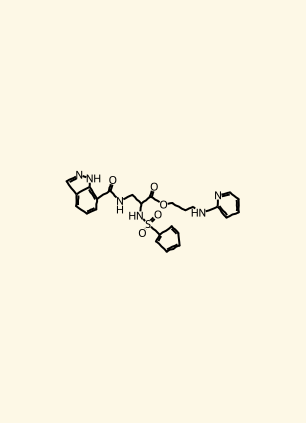 O=C(NCC(NS(=O)(=O)c1ccccc1)C(=O)OCCCNc1ccccn1)c1cccc2cn[nH]c12